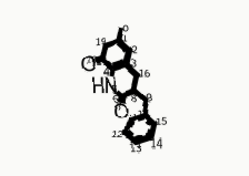 CC1=CC2=C(NC(=O)C(Cc3ccccc3)C2)C(=O)C1